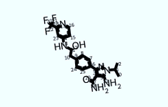 CC(C)n1nc(-c2ccc(CC(O)Nc3ccnc(C(F)(F)F)c3)cc2)c(C(N)=O)c1N